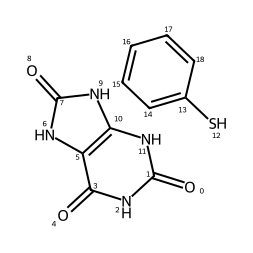 O=c1[nH]c(=O)c2[nH]c(=O)[nH]c2[nH]1.Sc1ccccc1